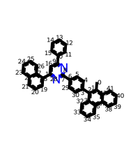 Cc1c(-c2ccc(-c3nc(-c4ccccc4)cc(-c4cccc5ccccc45)n3)cc2)c2ccccc2c2ccccc12